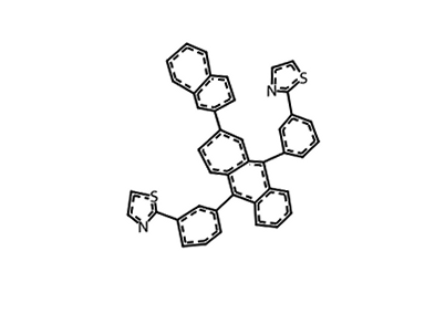 c1cc(-c2nccs2)cc(-c2c3ccccc3c(-c3cccc(-c4nccs4)c3)c3cc(-c4ccc5ccccc5c4)ccc23)c1